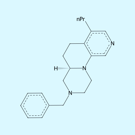 CCCc1cncc2c1CC[C@@H]1CN(Cc3ccccc3)CCN21